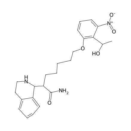 CC(O)c1c(OCCCCCC(C(N)=O)C2NCCc3ccccc32)cccc1[N+](=O)[O-]